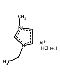 CCn1cc[n+](C)c1.Cl.Cl.[Al+3]